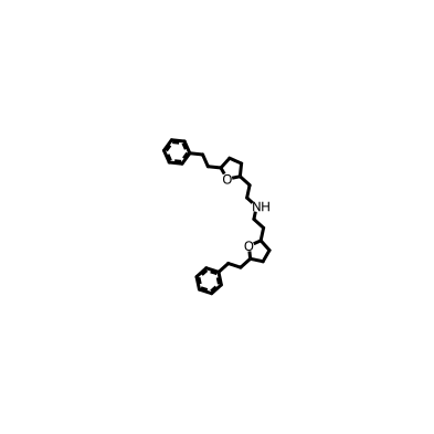 c1ccc(CCC2CCC(CCNCCC3CCC(CCc4ccccc4)O3)O2)cc1